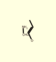 CC=C[O].N[C]=O